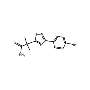 CC(C)(C(N)=O)c1nc(-c2ccc(Br)cc2)ns1